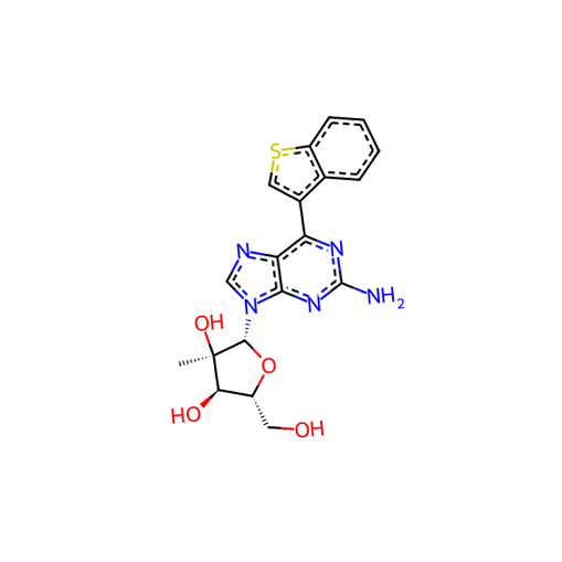 C[C@@]1(O)[C@H](O)[C@@H](CO)O[C@H]1n1cnc2c(-c3csc4ccccc34)nc(N)nc21